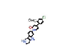 Cn1c2c(c3ccc(-n4ccc(-c5ccc(Cl)cc5C=O)cc4=O)cc31)CNCC2